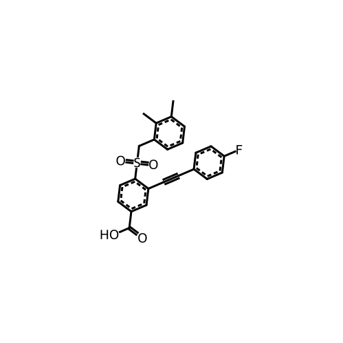 Cc1cccc(CS(=O)(=O)c2ccc(C(=O)O)cc2C#Cc2ccc(F)cc2)c1C